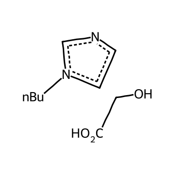 CCCCn1ccnc1.O=C(O)CO